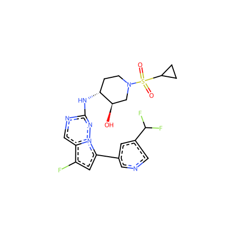 O=S(=O)(C1CC1)N1CC[C@@H](Nc2ncc3c(F)cc(-c4cncc(C(F)F)c4)n3n2)[C@H](O)C1